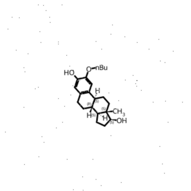 CCCCOc1cc2c(cc1O)CC[C@@H]1[C@@H]2CC[C@]2(C)[C@@H](O)CC[C@@H]12